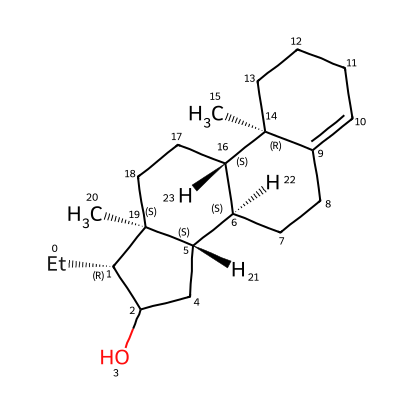 CC[C@H]1C(O)C[C@H]2[C@@H]3CCC4=CCCC[C@]4(C)[C@H]3CC[C@]12C